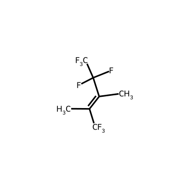 CC(=C(C)C(F)(F)C(F)(F)F)C(F)(F)F